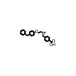 CN(CCOc1ccc(Cc2ccccc2)cc1)Cc1ccc(C(=O)O)cc1